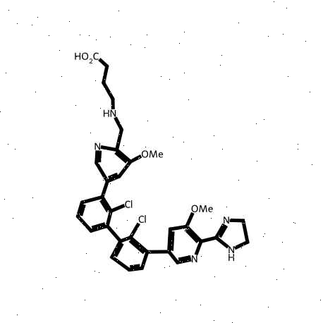 COc1cc(-c2cccc(-c3cccc(-c4cnc(C5=NCCN5)c(OC)c4)c3Cl)c2Cl)cnc1CNCCCC(=O)O